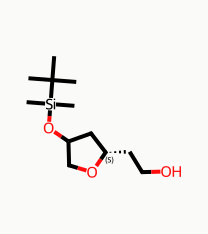 CC(C)(C)[Si](C)(C)OC1CO[C@@H](CCO)C1